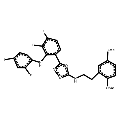 COc1ccc(OC)c(CCNc2nnc(-c3ccc(F)c(F)c3Nc3ccc(I)cc3F)o2)c1